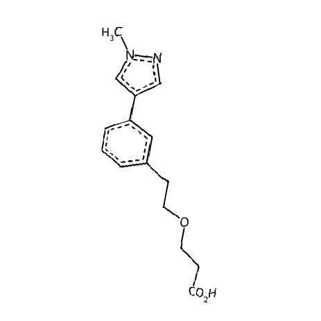 Cn1cc(-c2cccc(CCOCCC(=O)O)c2)cn1